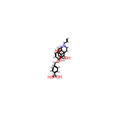 C=CCN1CCC23C4=C(C=CC(OCc5ccc(B(O)O)cc5)C4C)CC1[C@]2(O)CCC(=O)[C@H]3O